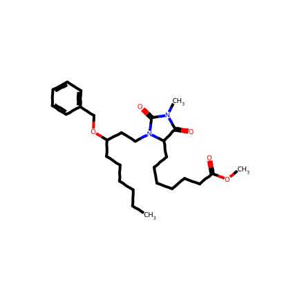 CCCCCCC(CCN1C(=O)N(C)C(=O)C1CCCCCCC(=O)OC)OCc1ccccc1